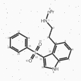 CCCNCCc1cccc2[nH]cc(S(=O)(=O)c3ccccc3)c12